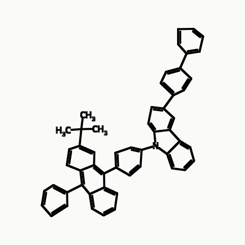 CC(C)(C)c1ccc2c(-c3ccccc3)c3ccccc3c(-c3ccc(-n4c5ccccc5c5cc(-c6ccc(-c7ccccc7)cc6)ccc54)cc3)c2c1